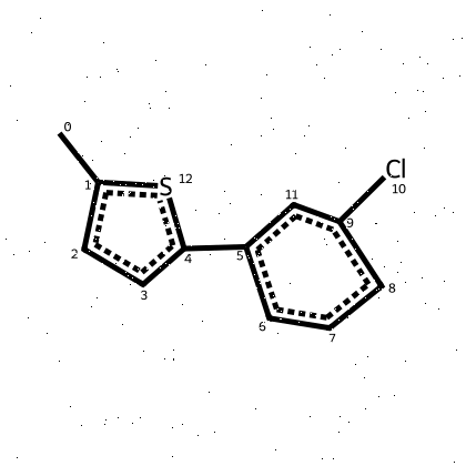 Cc1ccc(-c2cccc(Cl)c2)s1